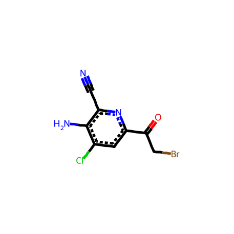 N#Cc1nc(C(=O)CBr)cc(Cl)c1N